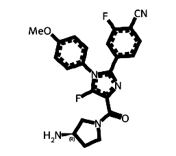 COc1ccc(-n2c(-c3ccc(C#N)c(F)c3)nc(C(=O)N3CC[C@@H](N)C3)c2F)cc1